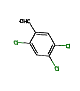 O=[C]c1cc(Cl)c(Cl)cc1Cl